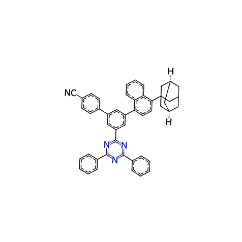 N#Cc1ccc(-c2cc(-c3nc(-c4ccccc4)nc(-c4ccccc4)n3)cc(-c3ccc(C45CC6C[C@H](C4)C[C@@H](C6)C5)c4ccccc34)c2)cc1